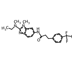 CCN(C)c1nc2ccc(NC(=O)CCc3ccc(C(F)(F)F)cc3)cc2n1C